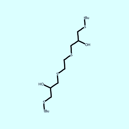 CC(C)(C)SCC(O)CSCCSCC(O)CSC(C)(C)C